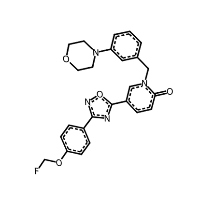 O=c1ccc(-c2nc(-c3ccc(OCF)cc3)no2)cn1Cc1cccc(N2CCOCC2)c1